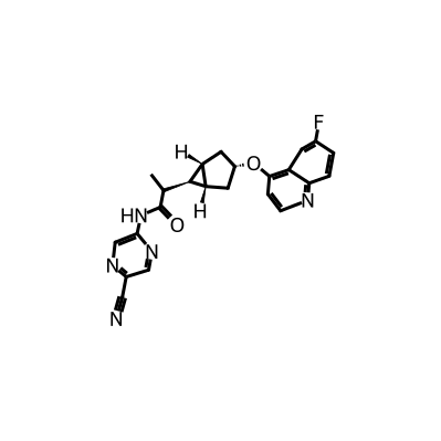 CC(C(=O)Nc1cnc(C#N)cn1)[C@H]1[C@@H]2C[C@H](Oc3ccnc4ccc(F)cc34)C[C@@H]21